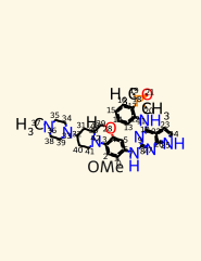 COc1cc2c(cc1Nc1nc(Nc3ccccc3P(C)(C)=O)c3cc[nH]c3n1)OC[C@@H]1C[C@@H](N3CCN(C)CC3)CCN21